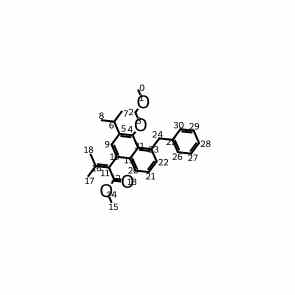 COCOc1c(C(C)C)cc(C(C(=O)OC)=C(C)C)c2cccc(Cc3ccccc3)c12